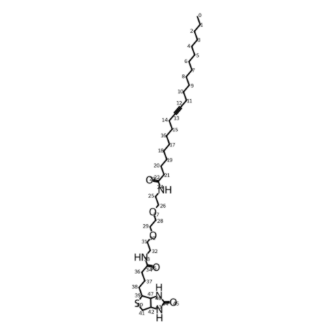 CCCCCCCCCCCCC#CCCCCCCCCC(=O)NCCOCCOCCNC(=O)CCCC1SCC2NC(=O)NC21